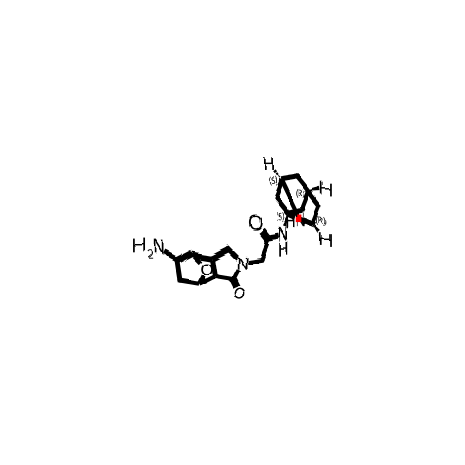 NC1CC2OC1C1CN(CC(=O)N[C@@]34C[C@@H]5C[C@@H](C[C@H](C5)N3)C4)C(=O)C21